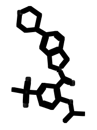 CC(C)Oc1ccc(S(C)(=O)=O)cc1C(=O)N1Cc2ccc(C3CCOCC3)cc2C1